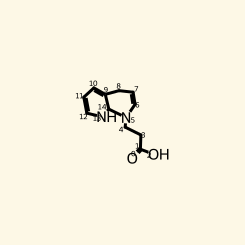 O=C(O)CCN1C=CCC2=CC=CNC21